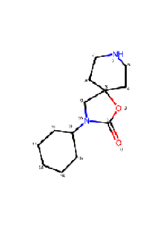 O=C1OC2(CCNCC2)CN1C1CCCCC1